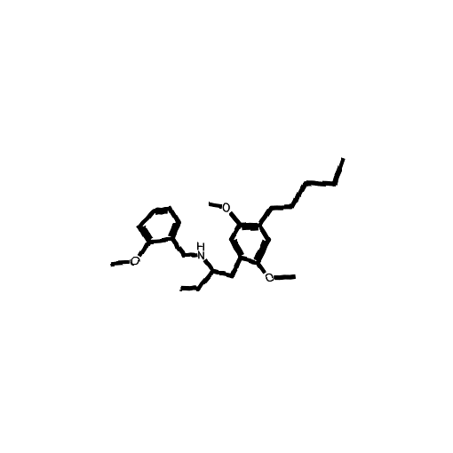 CCCCCc1cc(OC)c(CC(CC)NCc2ccccc2OC)cc1OC